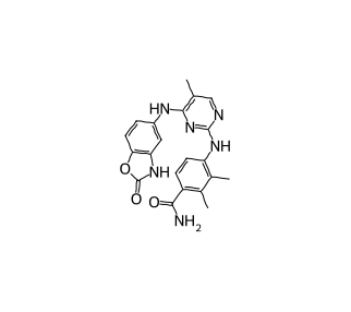 Cc1cnc(Nc2ccc(C(N)=O)c(C)c2C)nc1Nc1ccc2oc(=O)[nH]c2c1